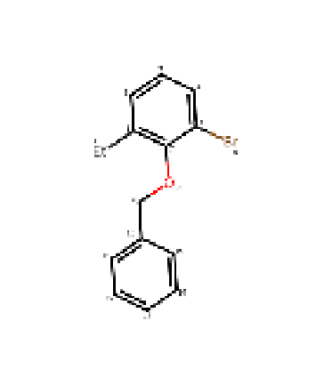 CCc1cccc(Br)c1OCc1ccccc1